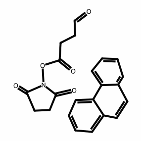 O=CCCC(=O)ON1C(=O)CCC1=O.c1ccc2c(c1)ccc1ccccc12